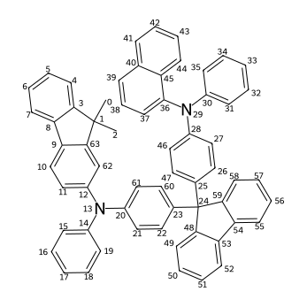 CC1(C)c2ccccc2-c2ccc(N(c3ccccc3)c3ccc(C4(c5ccc(N(c6ccccc6)c6cccc7ccccc67)cc5)c5ccccc5-c5ccccc54)cc3)cc21